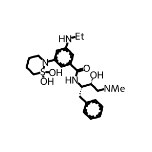 CCNc1cc(C(=O)N[C@@H](Cc2ccccc2)[C@H](O)CNC)cc(N2CCCCS2(O)O)c1